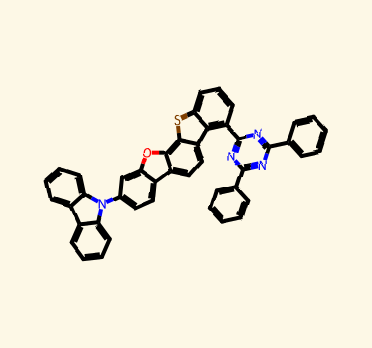 c1ccc(-c2nc(-c3ccccc3)nc(-c3cccc4sc5c(ccc6c7ccc(-n8c9ccccc9c9ccccc98)cc7oc65)c34)n2)cc1